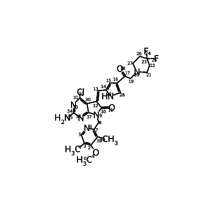 COc1c(C)cnc(CN2C(=O)C(=Cc3cc(C(=O)CN4CCC(F)(F)CC4)c[nH]3)c3c(Cl)nc(N)nc32)c1C